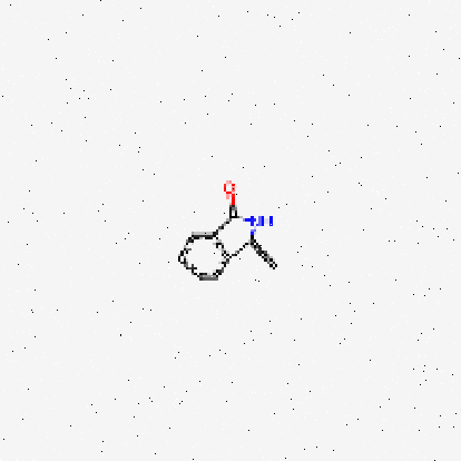 [CH]=C1NC(=O)c2ccccc21